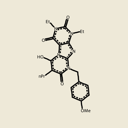 CCCc1c(O)n2c3c(=O)n(CC)c(=O)n(CC)c3nc2n(Cc2ccc(OC)cc2)c1=O